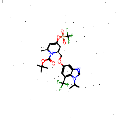 CC(C)n1cnc2cc(OC[C@@H]3CC(OS(=O)(=O)C(F)(F)F)=C[C@H](C)N3C(=O)OC(C)(C)C)cc(C(F)(F)F)c21